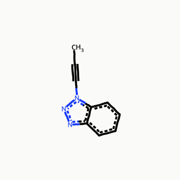 CC#Cn1nnc2ccccc21